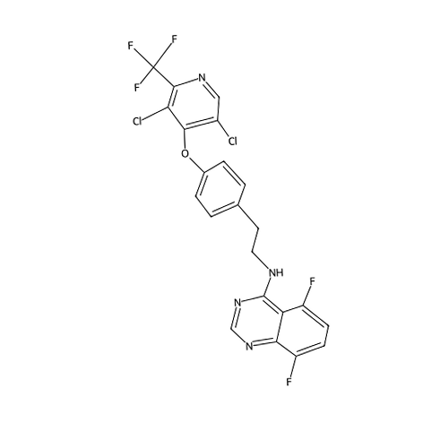 Fc1ccc(F)c2c(NCCc3ccc(Oc4c(Cl)cnc(C(F)(F)F)c4Cl)cc3)ncnc12